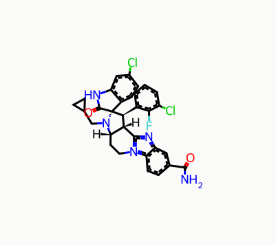 NC(=O)c1ccc2c(c1)nc1n2CC[C@H]2[C@@H]1[C@H](c1cccc(Cl)c1F)[C@]1(C(=O)Nc3cc(Cl)ccc31)N2CC1CC1